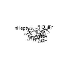 CCCCCCCC(=O)O[C@@]12CC(C)C34C=C(C)[C@H](OC(=O)C(C)C(C)C)[C@@]3(O)[C@H](O)C(CO)=C[C@H](C4=O)[C@@H]1C2(C)C